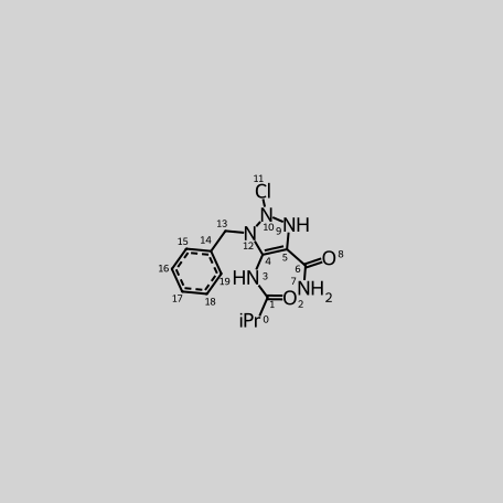 CC(C)C(=O)NC1=C(C(N)=O)NN(Cl)N1Cc1ccccc1